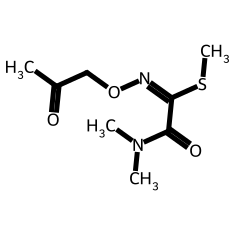 CSC(=NOCC(C)=O)C(=O)N(C)C